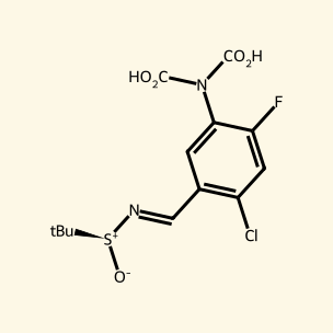 CC(C)(C)[S@+]([O-])/N=C/c1cc(N(C(=O)O)C(=O)O)c(F)cc1Cl